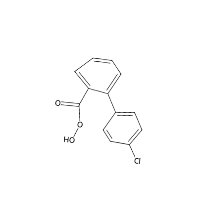 O=C(OO)c1ccccc1-c1ccc(Cl)cc1